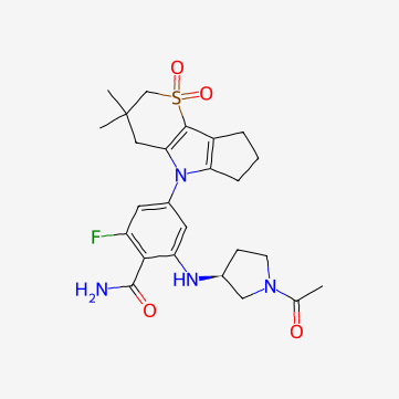 CC(=O)N1CC[C@H](Nc2cc(-n3c4c(c5c3CC(C)(C)CS5(=O)=O)CCC4)cc(F)c2C(N)=O)C1